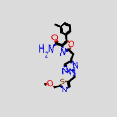 COCc1ncc(Cn2ncc(Cc3nc(C(N)=O)c(-c4cccc(C)c4)o3)n2)s1